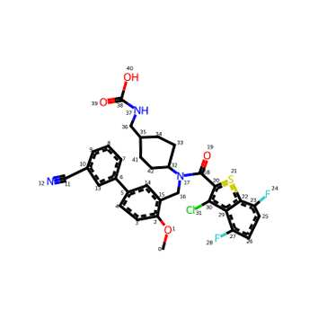 COc1ccc(-c2cccc(C#N)c2)cc1CN(C(=O)c1sc2c(F)ccc(F)c2c1Cl)C1CCC(CNC(=O)O)CC1